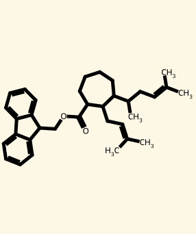 CC(C)=CCC(C)C1CCCCC(C(=O)OCC2c3ccccc3-c3ccccc32)C1CC=C(C)C